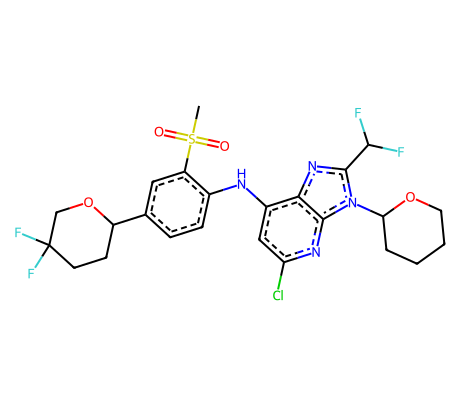 CS(=O)(=O)c1cc(C2CCC(F)(F)CO2)ccc1Nc1cc(Cl)nc2c1nc(C(F)F)n2C1CCCCO1